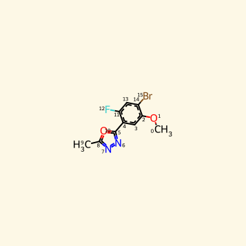 COc1cc(-c2nnc(C)o2)c(F)cc1Br